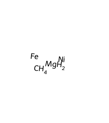 C.[Fe].[MgH2].[Ni]